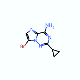 Nc1nc(C2CC2)nn2c(Br)cnc12